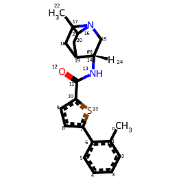 Cc1ccccc1-c1ccc(C(=O)N[C@H]2CN3CCC2CC3C)s1